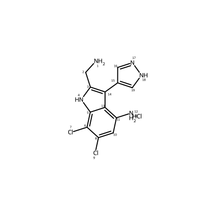 Cl.NCc1[nH]c2c(Cl)c(Cl)cc(N)c2c1-c1cn[nH]c1